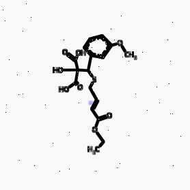 CCOC(=O)/C=C/CSC(c1cccc(OC)c1)C(O)(C(=O)O)C(=O)O